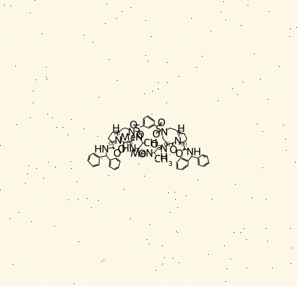 CNC(C)C(=O)N[C@H]1CN(S(=O)(=O)c2cccc(S(=O)(=O)N3CC[C@H]4CC[C@@H](C(=O)NC(c5ccccc5)c5ccccc5)N4C(=O)[C@@H](NC(=O)C(C)NC)C3)c2)CC[C@H]2CC[C@@H](C(=O)NC(c3ccccc3)c3ccccc3)N2C1=O